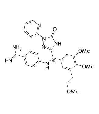 COCCc1cc([C@H](Nc2ccc(C(=N)N)cc2)c2nn(-c3ncccn3)c(=O)[nH]2)cc(OC)c1OC